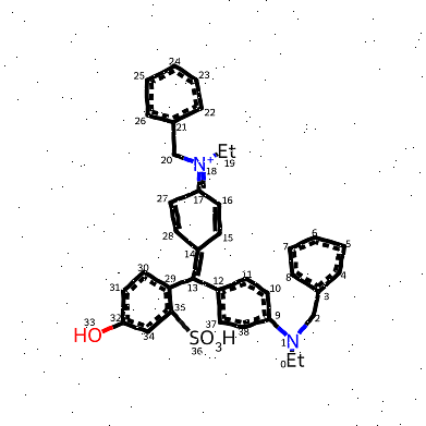 CCN(Cc1ccccc1)c1ccc(C(=C2C=CC(=[N+](CC)Cc3ccccc3)C=C2)c2ccc(O)cc2S(=O)(=O)O)cc1